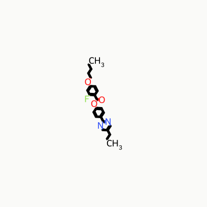 CCCCCOc1ccc(C(=O)Oc2ccc(-c3ncc(CCC)cn3)cc2)c(F)c1